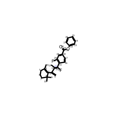 C=C(C1=C(C)CCCC1(C)C)/C(C)=C(\F)c1ccc(C(=O)Oc2ccccc2)cc1F